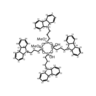 CO[Si]1(CCCN2C3C=CC=CC3C3C=CC=CC32)O[Si](O)(CCCN2C3C=CC=CC3C3C=CC=CC32)O[Si](O)(CCCN2C3C=CC=CC3C3C=CC=CC32)O[Si](CCCN2C3C=CC=CC3C3C=CC=CC32)(OC)O1